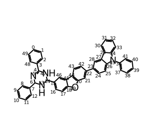 c1ccc(C2=NC(c3ccccc3)NC(c3ccc4oc5cc(-c6ccc7c(c6)c6ccccc6n7-c6ccccc6)ccc5c4c3)N2)cc1